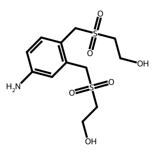 Nc1ccc(CS(=O)(=O)CCO)c(CS(=O)(=O)CCO)c1